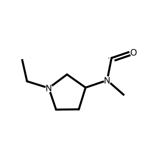 CCN1CCC(N(C)[C]=O)C1